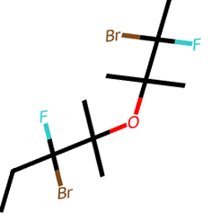 CCC(F)(Br)C(C)(C)OC(C)(C)C(F)(Br)CC